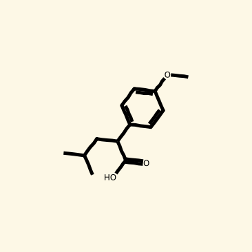 COc1ccc(C(CC(C)C)C(=O)O)cc1